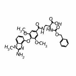 COc1cc(C(=O)NC[C@H](NC(=O)OCc2ccccc2)C(=O)O)cc(OC)c1Oc1cccc2c1nc(N)n2C